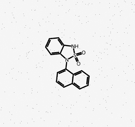 O=S1(=O)Nc2ccccc2N1c1cccc2ccccc12